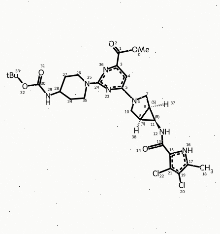 COC(=O)c1cc(N2C[C@@H]3[C@H](C2)[C@@H]3NC(=O)c2[nH]c(C)c(Cl)c2Cl)nc(N2CCC(NC(=O)OC(C)(C)C)CC2)n1